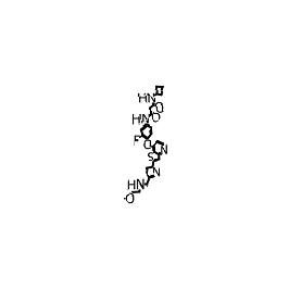 COCCNCc1ccc(-c2cc3nccc(Oc4ccc(NC(=O)CC(=O)NC5CCC5)cc4F)c3s2)nc1